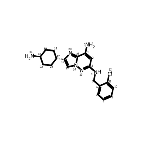 Nc1cc(NCc2ccccc2Cl)nn2cc([C@H]3CC[C@H](N)CC3)nc12